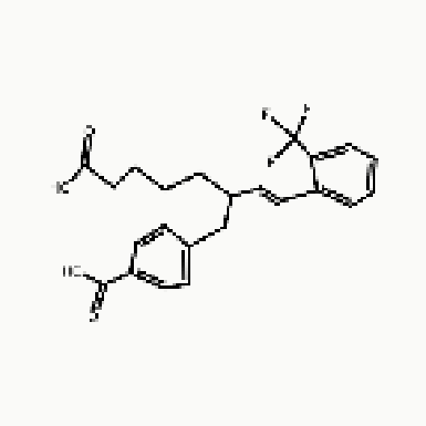 O=C(O)CCCCC(/C=C/c1ccccc1C(F)(F)F)Cc1ccc(C(=O)O)cc1